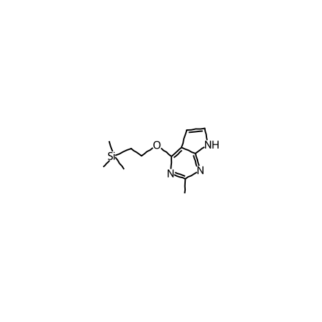 Cc1nc(OCC[Si](C)(C)C)c2cc[nH]c2n1